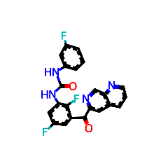 O=C(Nc1cccc(F)c1)Nc1cc(F)cc(C(=O)c2cc3cccnc3cn2)c1F